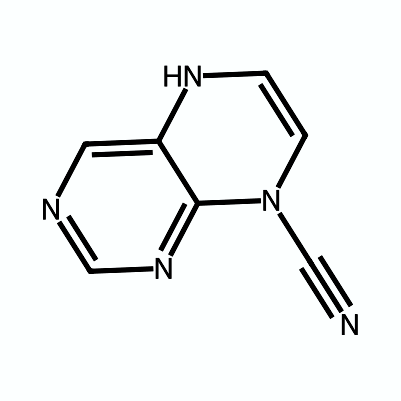 N#CN1C=CNc2cncnc21